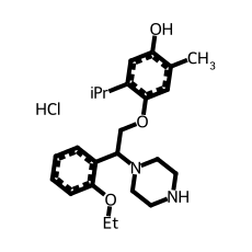 CCOc1ccccc1C(COc1cc(C)c(O)cc1C(C)C)N1CCNCC1.Cl